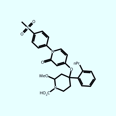 CCCc1ccccc1C1(Oc2ccn(-c3ccc(S(C)(=O)=O)cc3)c(=O)c2)CCN(C(=O)O)C(OC)C1